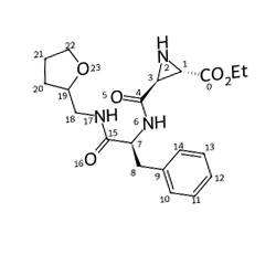 CCOC(=O)[C@H]1N[C@@H]1C(=O)N[C@@H](Cc1ccccc1)C(=O)NCC1CCCO1